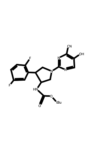 CC(C)(C)OC(=O)NC1CN(c2ncc(O)c(C#N)n2)CC1c1cc(F)ccc1F